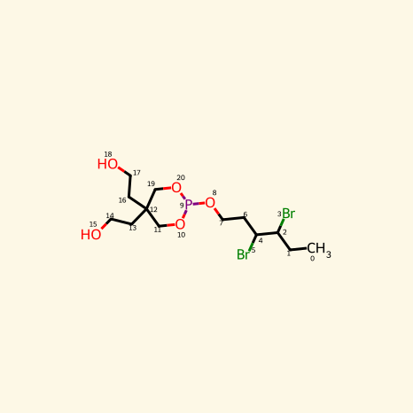 CCC(Br)C(Br)CCOP1OCC(CCO)(CCO)CO1